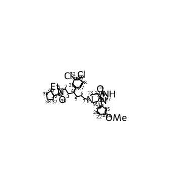 CCN(CCC(CCCN1CCC2(CC1)C(=O)NCN2c1cccc(OC)c1)c1ccc(Cl)c(Cl)c1)C(=O)C1CCCC1